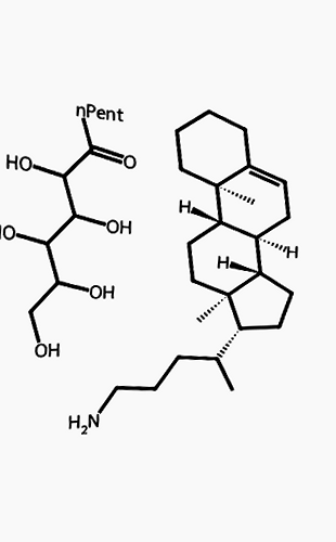 CC(CCCN)[C@H]1CC[C@H]2[C@@H]3CC=C4CCCC[C@]4(C)[C@H]3CC[C@]12C.CCCCCC(=O)C(O)C(O)C(O)C(O)CO